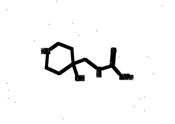 CNC(=O)NCC1(O)CCNCC1